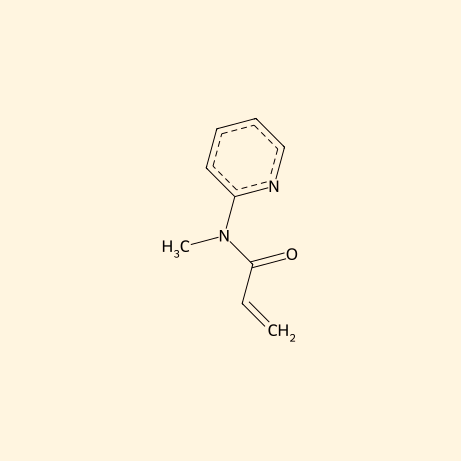 C=CC(=O)N(C)c1ccccn1